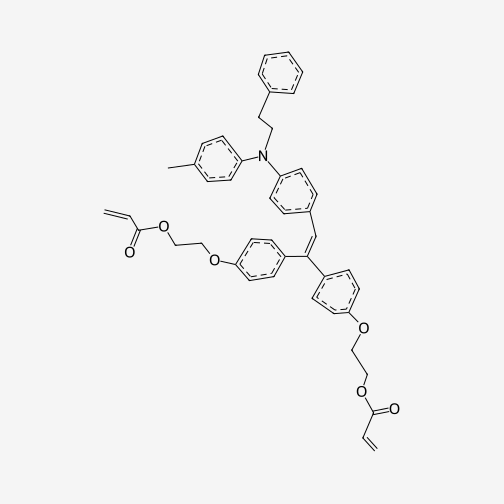 C=CC(=O)OCCOc1ccc(C(=Cc2ccc(N(CCc3ccccc3)c3ccc(C)cc3)cc2)c2ccc(OCCOC(=O)C=C)cc2)cc1